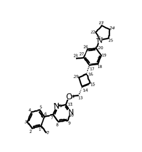 Cc1ccccc1-c1ccnc(OC[C@H]2C[C@@H](c3ccc(N4CCCC4)cc3C)C2)n1